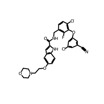 N#Cc1cc(Cl)cc(Oc2c(Cl)ccc(CNC(=O)c3cc4cc(OCCN5CCOCC5)ccc4[nH]3)c2F)c1